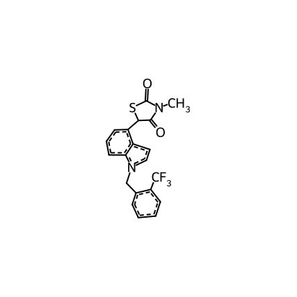 CN1C(=O)SC(c2cccc3c2ccn3Cc2ccccc2C(F)(F)F)C1=O